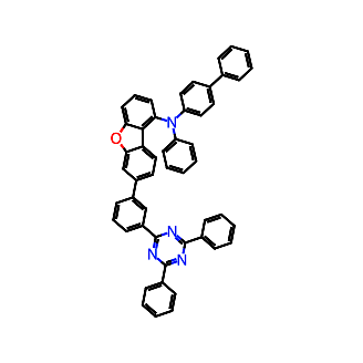 c1ccc(-c2ccc(N(c3ccccc3)c3cccc4oc5cc(-c6cccc(-c7nc(-c8ccccc8)nc(-c8ccccc8)n7)c6)ccc5c34)cc2)cc1